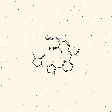 C=N\C(=C/C=N\C(=C\NC)C(=N)F)c1cccc(C2=NCC([C@@H]3CCN(C)C3=C)=C2)n1